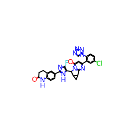 O=C1CCc2cc(-c3nc(F)c(C4C5CC5c5nc(-c6cc(Cl)ccc6-n6cnnn6)cc(=O)n54)[nH]3)ccc2N1